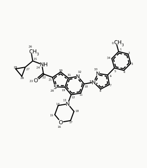 Cc1cccc(-c2ccn(-c3cc(N4CCOCC4)c4sc(C(=O)NC(C)C5CC5)cc4n3)n2)c1